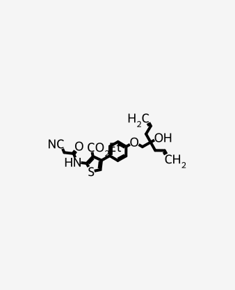 C=CCC(O)(CC=C)COc1ccc(-c2csc(NC(=O)CC#N)c2C(=O)OCC)cc1